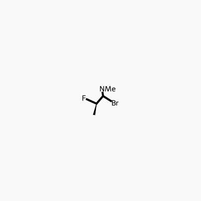 CNC(Br)[C@@H](C)F